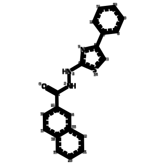 O=C(NNc1nc(-c2ccccc2)cs1)c1ccc2ccccc2c1